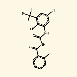 O=C(NC(=O)c1ccccc1F)Nc1cc(Cl)cc(C(F)(F)F)c1Cl